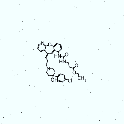 CCOC(=O)CCNC(=O)NC1C=CC=C2Oc3ncccc3C(=CCCN3CCC(O)(c4ccc(Cl)cc4)CC3)C=C21